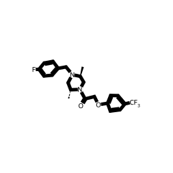 C[C@@H]1CN(Cc2ccc(F)cc2)[C@@H](C)CN1C(=O)COc1ccc(C(F)(F)F)cc1